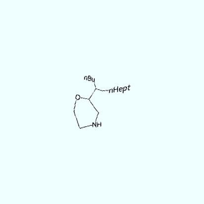 CCCCCCCC(CCCC)C1CNCCO1